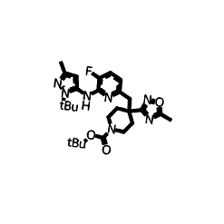 Cc1cc(Nc2nc(CC3(c4noc(C)n4)CCN(C(=O)OC(C)(C)C)CC3)ccc2F)n(C(C)(C)C)n1